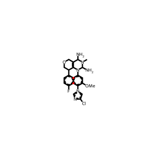 COc1cc(N2C3=C(COCC3c3ccc(F)cc3)C(N)N(C)C2N)ccc1-n1cnc(Cl)c1